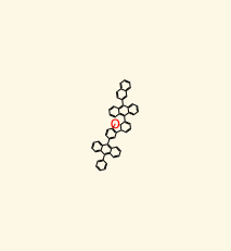 C1=CC2c3cc(-c4c5ccccc5c(-c5ccccc5)c5ccccc45)ccc3OC2C(c2c3ccccc3c(-c3ccc4ccccc4c3)c3ccccc23)=C1